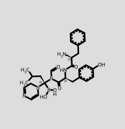 CC(C)C[C@@](B(O)O)(N1C=CN=CC1)N(C=O)C(=O)[C@H](Cc1ccc(O)cc1)NC(=O)[C@@H](N)Cc1ccccc1